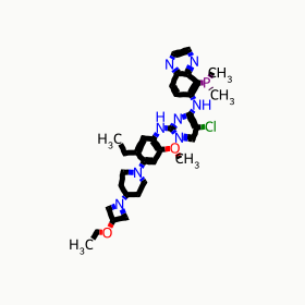 CCOC1CN(C2CCN(c3cc(OC)c(Nc4ncc(Cl)c(Nc5ccc6nccnc6c5P(C)C)n4)cc3CC)CC2)C1